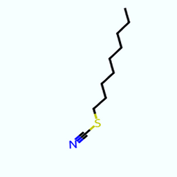 CCCCCCCCCSC#N